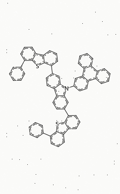 c1ccc(-c2cccc3c2sc2c(-c4ccc5c6ccc(-c7cccc8c7sc7c(-c9ccccc9)cccc78)cc6n(-c6ccc7c8ccccc8c8ccccc8c7c6)c5c4)cccc23)cc1